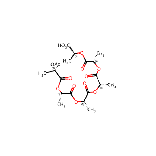 CC(=O)O[C@@H](C)C(=O)O[C@@H](C)C(=O)O[C@@H](C)C(=O)O[C@@H](C)C(=O)O[C@@H](C)C(=O)O[C@@H](C)C(=O)O